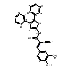 N#C/C(=C\c1ccc(O)c(O)c1)C(=O)Nc1nc(-c2ccccn2)c(-c2cnccn2)s1